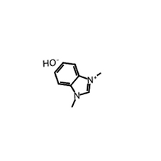 Cn1c[n+](C)c2ccccc21.[OH-]